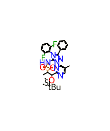 Cc1cnc(C(O[Si](C)(C)C(C)(C)C)C(C)S(=O)(=O)Nc2nnc(-c3ccccc3)n2-c2c(F)cccc2F)nc1